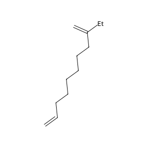 C=CCCCCCCC(=C)CC